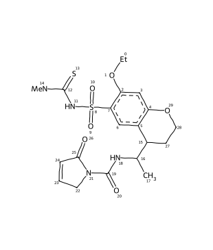 CCOc1cc2c(cc1S(=O)(=O)NC(=S)NC)C(C(C)NC(=O)N1CC=CC1=O)CCO2